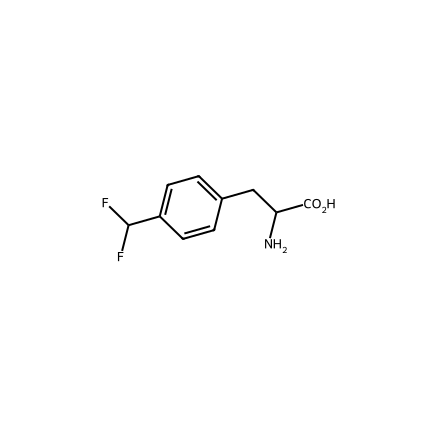 NC(Cc1ccc(C(F)F)cc1)C(=O)O